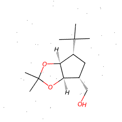 CC1(C)O[C@@H]2[C@@H](CO)C[C@@H](C(C)(C)C)[C@@H]2O1